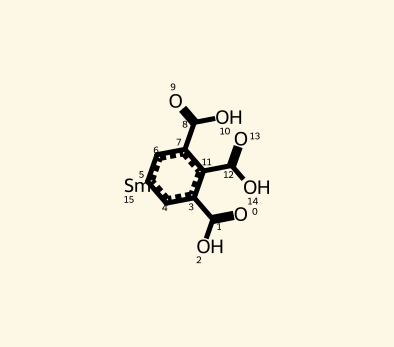 O=C(O)c1cccc(C(=O)O)c1C(=O)O.[Sm]